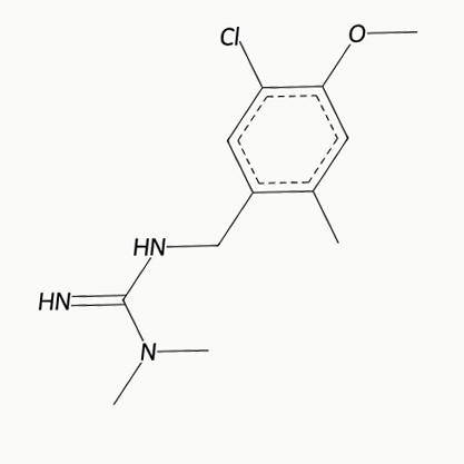 COc1cc(C)c(CNC(=N)N(C)C)cc1Cl